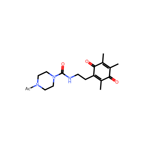 CC(=O)N1CCN(C(=O)NCCC2=C(C)C(=O)C(C)=C(C)C2=O)CC1